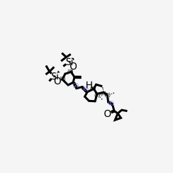 C=C1/C(=C\C=C2/CCC[C@]3(C)[C@@H]([C@H](C)/C=C/C(=O)C4(CC)CC4)CC[C@@H]23)C[C@@H](O[Si](C)(C)C(C)(C)C)C[C@@H]1O[Si](C)(C)C(C)(C)C